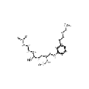 CCCCCCCCCCCCCCc1cccc(OCC(COP(O)OCCCN(C)C)OC=O)c1